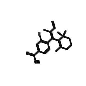 C=CC(C)=C(C1=C(C)CCCC1(C)C)c1ccc(C(=O)O)cc1F